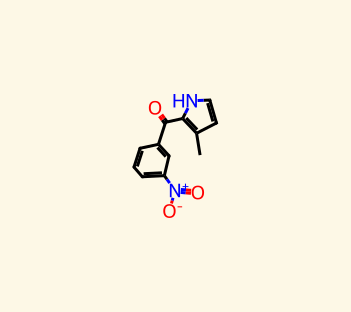 Cc1cc[nH]c1C(=O)c1cccc([N+](=O)[O-])c1